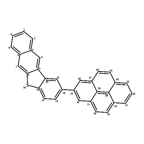 c1ccc2cc3c(cc2c1)sc1ccc(-c2cc4ccc5cccc6ccc(c2)c4c56)cc13